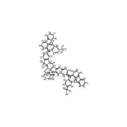 CC(C)(C)c1ccc(N(c2ccc3c(c2)-c2cc4c(cc2C3(C)C)C2(c3cc5cc(N(c6ccc(C(C)(C)C)cc6)c6cccc7c6oc6ccccc67)ccc5cc3-4)C3CC4CC(C3)CC2C4)c2cccc3c2oc2ccccc23)cc1